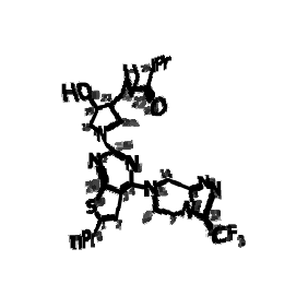 CCCc1cc2c(N3CCn4c(nnc4C(F)(F)F)C3)nc(N3CC(O)C(NC(=O)C(C)C)C3)nc2s1